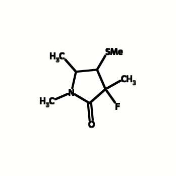 CSC1C(C)N(C)C(=O)C1(C)F